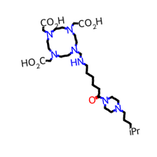 CC(C)CCCN1CCN(C(=O)CCCCCNCN2CCN(CC(=O)O)CCN(CC(=O)O)CCN(CC(=O)O)CC2)CC1